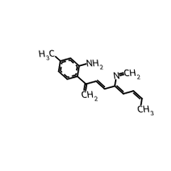 C=NC(=C\C=C/C)/C=C/C(=C)c1ccc(C)cc1N